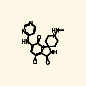 CNN1CCC2(CC1)NC(=O)c1c(Cl)cc(Nc3ccncn3)c(=O)n12